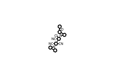 N#Cc1cc(-n2c3ccccc3c3ccccc32)c(C#N)cc1-c1ccc(-n2c3ccccc3c3c4oc5ccccc5c4ccc32)c(Cl)c1C#N